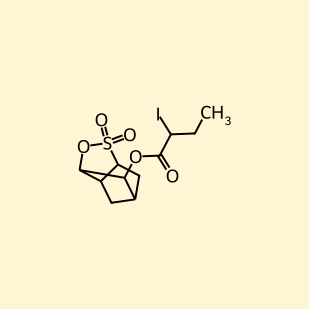 CCC(I)C(=O)OC1C2CC3C1OS(=O)(=O)C3C2